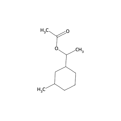 CC(=O)OC(C)C1CCCC(C)C1